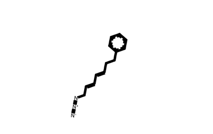 [N-]=[N+]=NC/C=C/C=C/CCc1ccccc1